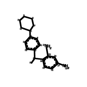 CC(c1ccc(C2CCCCC2)cc1)c1ccc(N)cc1N